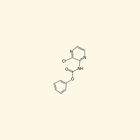 O=C(Nc1nccnc1Cl)Oc1ccccc1